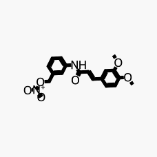 COc1ccc(C=CC(=O)Nc2cccc(CO[N+](=O)[O-])c2)cc1OC